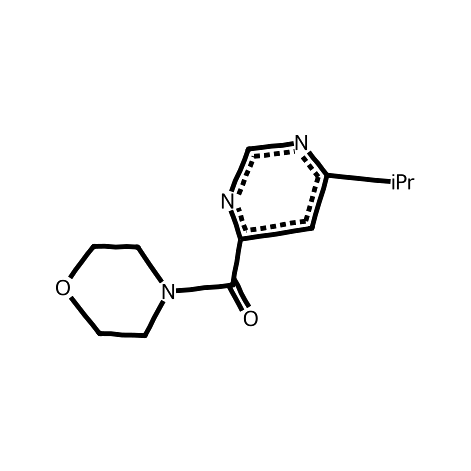 CC(C)c1cc(C(=O)N2CCOCC2)ncn1